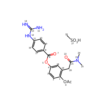 CC(=O)Oc1ccc(OC(=O)c2ccc(NC(=N)N)cc2)cc1CC(=O)N(C)C.CS(=O)(=O)O